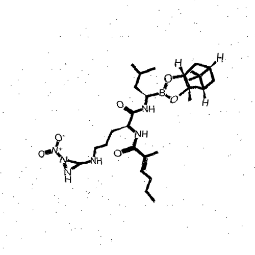 CCC/C=C(\C)C(=O)N[C@@H](CCCNC1NN1[N+](=O)[O-])C(=O)N[C@@H](CC(C)C)B1O[C@@H]2C[C@@H]3C[C@@H](C3(C)C)[C@]2(C)O1